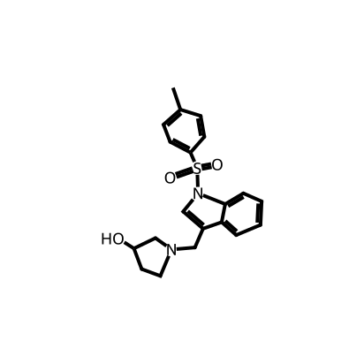 Cc1ccc(S(=O)(=O)n2cc(CN3CCC(O)C3)c3ccccc32)cc1